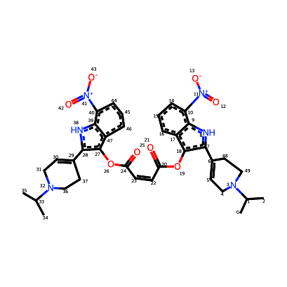 CC(C)N1CC=C(c2[nH]c3c([N+](=O)[O-])cccc3c2OC(=O)/C=C\C(=O)Oc2c(C3=CCN(C(C)C)CC3)[nH]c3c([N+](=O)[O-])cccc23)CC1